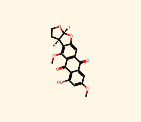 COc1cc(O)c2c(c1)C(=O)c1cc3c(c(OC)c1C2=O)[C@@H]1CCO[C@@H]1O3